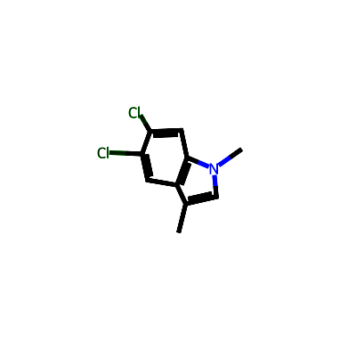 Cc1cn(C)c2cc(Cl)c(Cl)cc12